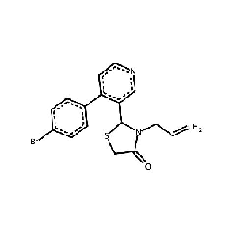 C=CCN1C(=O)CSC1c1cnccc1-c1ccc(Br)cc1